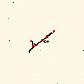 CC/C=C\CCCCOC(CCCC(=O)OCCCCCCCN(CCCO)CCCCCC(=O)OCCCCCCCCCCC)OCCCC/C=C\CC